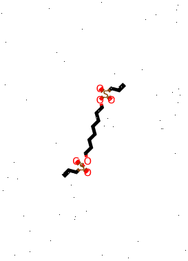 C=CCS(=O)(=O)OCCCCCCCCOS(=O)(=O)CC=C